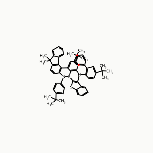 CC(C)(C)c1ccc(N2B3c4sc5ccccc5c4N(c4ccc(C(C)(C)C)cc4-c4ccccc4)c4cc(C(C)(C)C)cc(c43)-c3c2ccc2c3-c3ccccc3C2(C)C)cc1